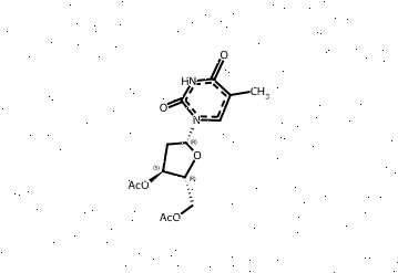 CC(=O)OC[C@H]1O[C@@H](n2cc(C)c(=O)[nH]c2=O)C[C@@H]1OC(C)=O